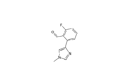 Cn1cnc(-c2cccc(F)c2C=O)c1